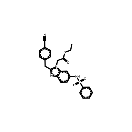 CCOC(=O)Cn1c(Cc2ccc(C#N)cc2)nc2ccc(NS(=O)(=O)c3ccccc3)cc21